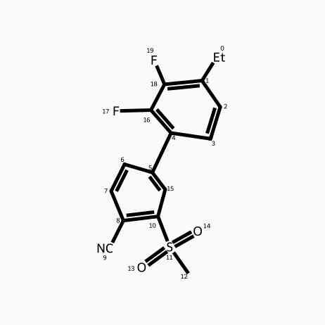 CCc1ccc(-c2ccc(C#N)c(S(C)(=O)=O)c2)c(F)c1F